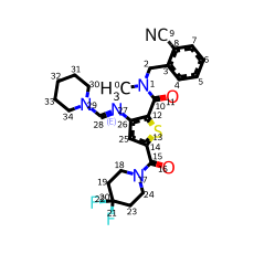 CN(Cc1ccccc1C#N)C(=O)c1sc(C(=O)N2CCC(F)(F)CC2)cc1/N=C/N1CCCCC1